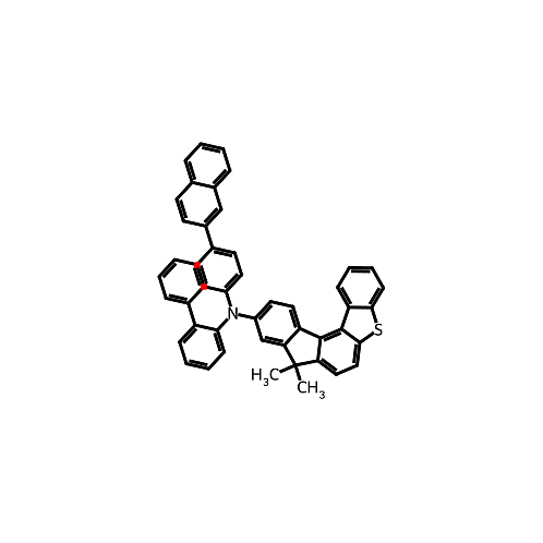 CC1(C)c2cc(N(c3ccc(-c4ccc5ccccc5c4)cc3)c3ccccc3-c3ccccc3)ccc2-c2c1ccc1sc3ccccc3c21